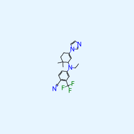 CCN(c1ccc(C#N)c(C(F)(F)F)c1)C1C=C(n2ccnc2)CCC1(C)C